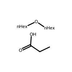 CCC(=O)O.CCCCCCOCCCCCC